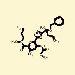 C=CCCN(C)C(=O)c1nc(-c2nnc(C(CC=C)(OCc3ccccc3)C(F)(F)F)o2)c(NC(=O)OC(C)(C)C)cc1C(F)(F)F